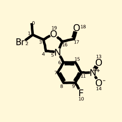 CC(Br)C1CN(c2ccc(F)c([N+](=O)[O-])c2)C(C=O)O1